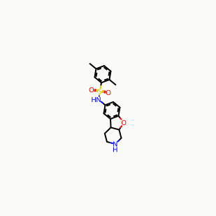 Cc1ccc(C)c(S(=O)(=O)Nc2ccc3c(c2)C2CCNCC2O3)c1